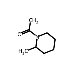 [CH2]C(=O)N1CCCCC1C